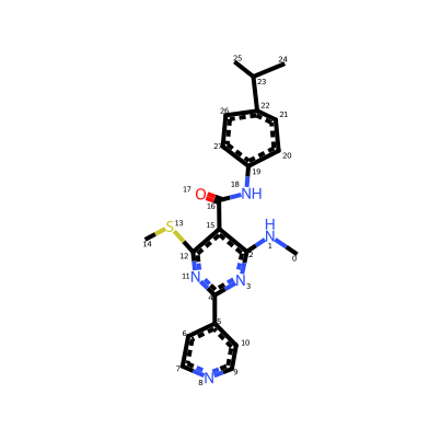 CNc1nc(-c2ccncc2)nc(SC)c1C(=O)Nc1ccc(C(C)C)cc1